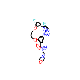 O=C(NCCN1CCOCC1)c1ccc2cc1OCCCCCOc1cc(F)ccc1-c1nc(ncc1F)N2